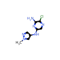 Cn1cc(Nc2cnc(Cl)c(N)n2)cn1